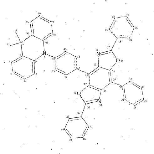 CC1(C)c2ccccc2N(c2ccc(-c3c4nc(-c5ccccc5)oc4c(-c4ccccc4)c4nc(-c5ccccc5)oc34)cc2)c2ccccc21